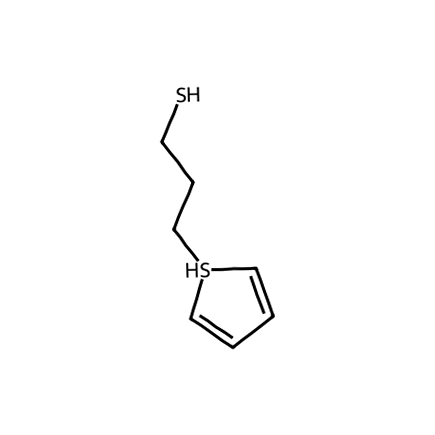 SCCC[SH]1C=CC=C1